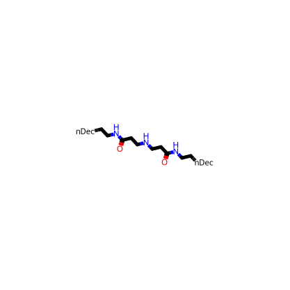 CCCCCCCCCCCCNC(=O)CCNCCC(=O)NCCCCCCCCCCCC